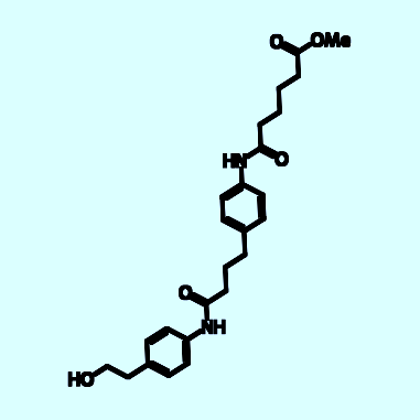 COC(=O)CCCCC(=O)Nc1ccc(CCCC(=O)Nc2ccc(CCO)cc2)cc1